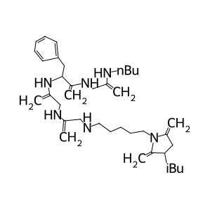 C=C(CNCCCCCN1C(=C)CC(C(C)CC)C1=C)NCC(=C)NC(Cc1ccccc1)C(=C)NCC(=C)NCCCC